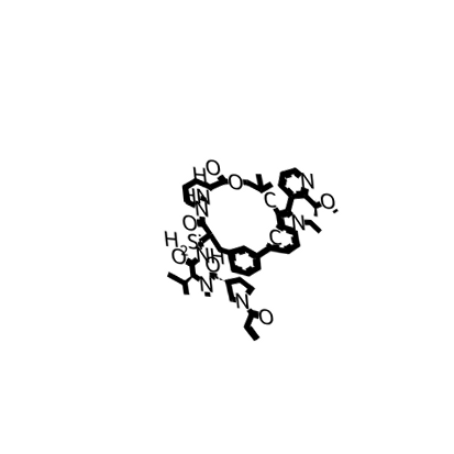 C=CC(=O)N1CC[C@@H](C(=O)N(C)[C@H](C(=O)N[SiH2]C2Cc3cccc(c3)-c3ccc4c(c3)c(c(-c3cccnc3[C@H](C)OC)n4CC)CC(C)(C)COC(=O)[C@@H]3CCCN(N3)C2=O)C(C)C)C1